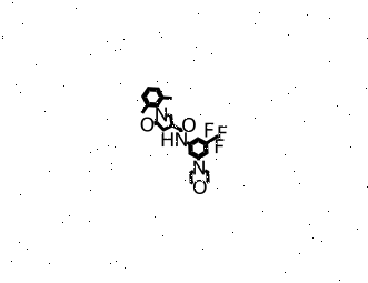 Cc1cccc(C)c1N1CC(C(=O)Nc2cc(N3CCOCC3)cc(C(F)(F)F)c2)CC1=O